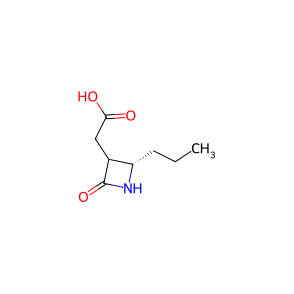 CCC[C@@H]1NC(=O)C1CC(=O)O